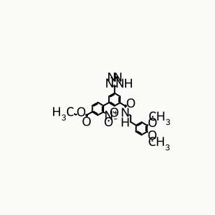 CCOC(=O)c1ccc(-c2cc(C(=O)NCCc3ccc(OC)c(OC)c3)cc(-c3nnn[nH]3)c2)c([N+](=O)[O-])c1